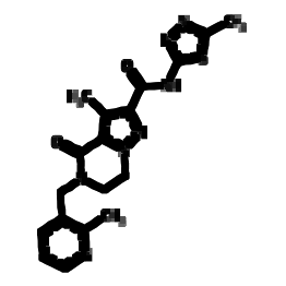 Cc1ncccc1CN1CCn2nc(C(=O)Nc3nnc(C(F)(F)F)s3)c(C)c2C1=O